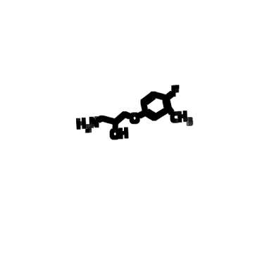 Cc1cc(OCC(O)CN)ccc1F